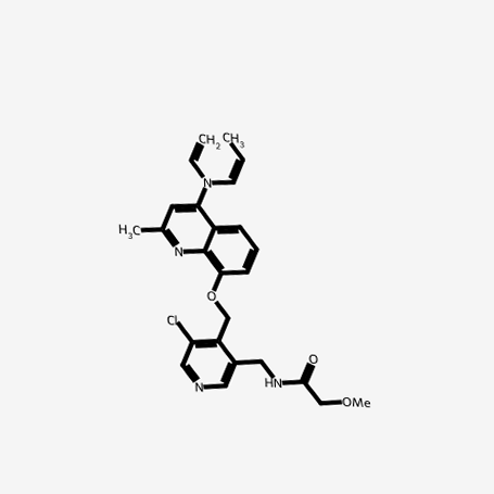 C=CN(/C=C\C)c1cc(C)nc2c(OCc3c(Cl)cncc3CNC(=O)COC)cccc12